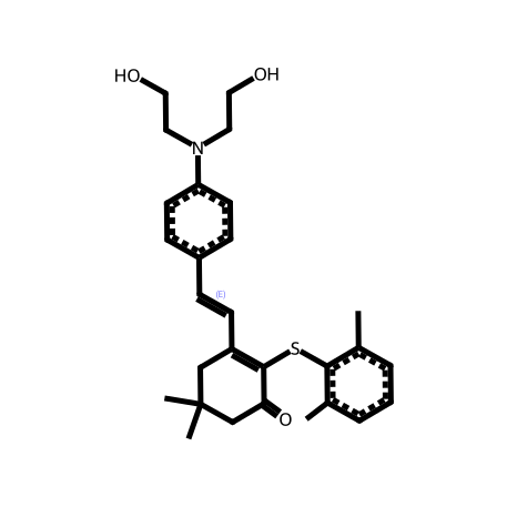 Cc1cccc(C)c1SC1=C(/C=C/c2ccc(N(CCO)CCO)cc2)CC(C)(C)CC1=O